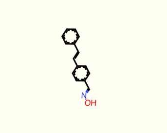 ON=Cc1ccc(C=Cc2ccccc2)cc1